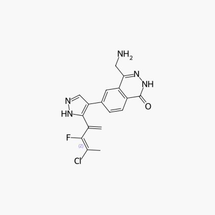 C=C(/C(F)=C(\C)Cl)c1[nH]ncc1-c1ccc2c(=O)[nH]nc(CN)c2c1